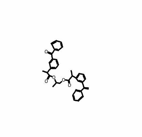 C=C(c1ccccc1)c1cccc(C(C)C(=O)OCC(C)OC(=O)C(C)c2cccc(C(=O)c3ccccc3)c2)c1